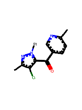 CCn1nc(C)c(Cl)c1C(=O)c1ccc(C)nc1